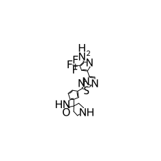 Nc1ncc(-c2cnc3sc(-c4ccc5c(c4)C4(CCNCC4)C(=O)N5)nn23)cc1C(F)(F)F